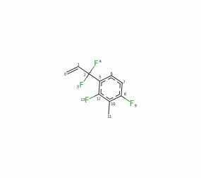 C=CC(F)(F)c1ccc(F)c(C)c1F